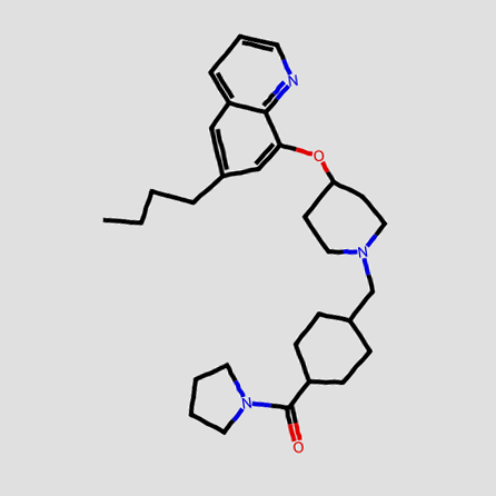 CCCCc1cc(OC2CCN(CC3CCC(C(=O)N4CCCC4)CC3)CC2)c2ncccc2c1